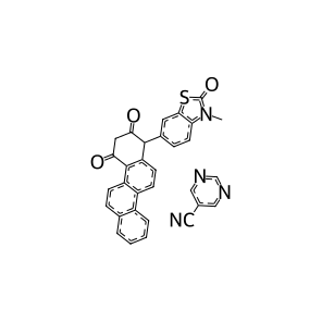 Cn1c(=O)sc2cc(C3C(=O)CC(=O)c4c3ccc3c4ccc4ccccc43)ccc21.N#Cc1cncnc1